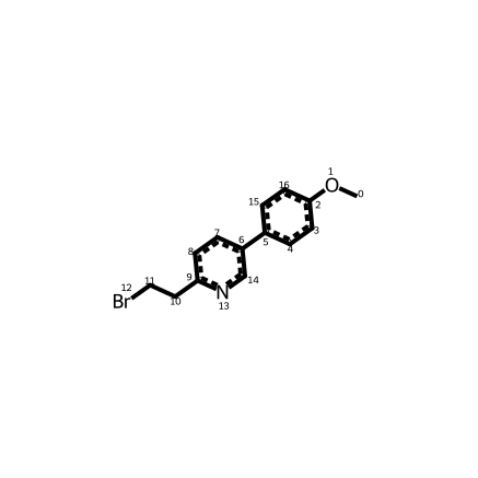 COc1ccc(-c2ccc(CCBr)nc2)cc1